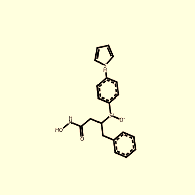 O=C(CC(Cc1ccccc1)[S+]([O-])c1ccc([SH]2C=CC=C2)cc1)NO